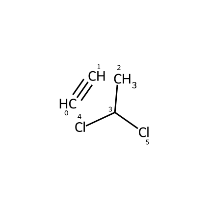 C#C.CC(Cl)Cl